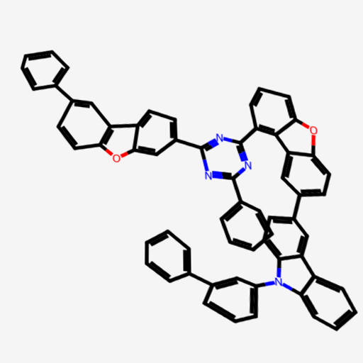 c1ccc(-c2cccc(-n3c4ccccc4c4cc(-c5ccc6oc7cccc(-c8nc(-c9ccccc9)nc(-c9ccc%10c(c9)oc9ccc(-c%11ccccc%11)cc9%10)n8)c7c6c5)ccc43)c2)cc1